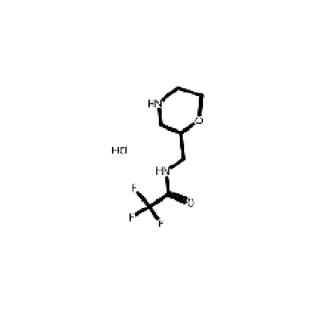 Cl.O=C(NCC1CNCCO1)C(F)(F)F